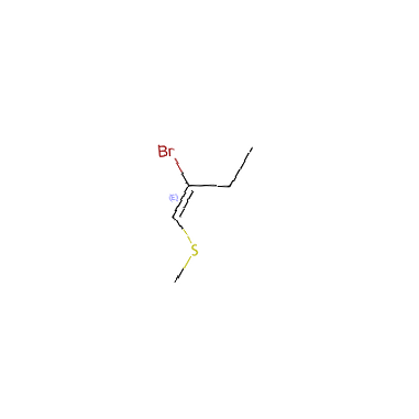 CC/C(Br)=C\SC